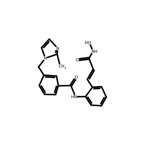 Cc1nccn1Cc1cccc(C(=O)Nc2ccccc2C=CC(=O)NO)c1